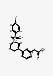 O=C(O)Cc1cccc(C2=CN(S(=O)(=O)c3ccc(F)cc3)CCC2)c1